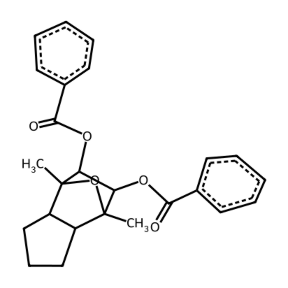 CC12OC(C)(C3CCCC31)C(OC(=O)c1ccccc1)C2OC(=O)c1ccccc1